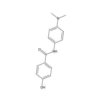 CN(C)c1ccc(NC(=O)c2ccc(O)cc2)cc1